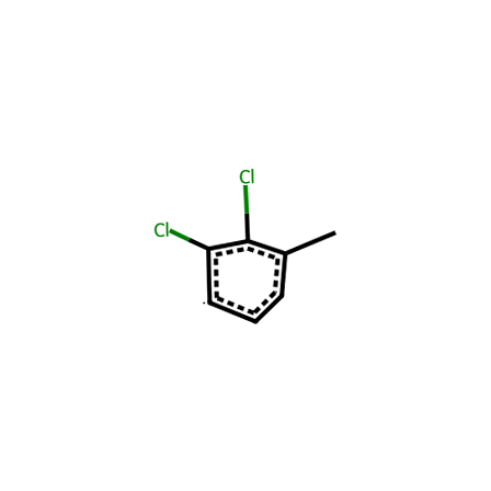 Cc1cc[c]c(Cl)c1Cl